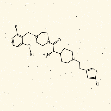 CCOc1cccc(F)c1CN1CCN(C(=O)[C@H](N)C2CCN(CCc3csc(Cl)c3)CC2)CC1